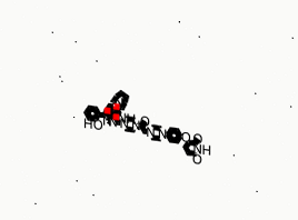 Nc1nnc(-c2ccccc2O)cc1N1CC2CCC(C1)N2c1cccc(CN2CCN(C(=O)CN3CCN(c4ccc(OC5CCC(=O)NC5=O)cc4)CC3)CC2)c1